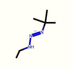 CCN/N=N/C(C)(C)C